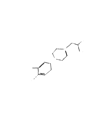 CCCC(CCC)CN1CCN([C@H]2C=C(F)C(C(C)=O)=CC2)CC1